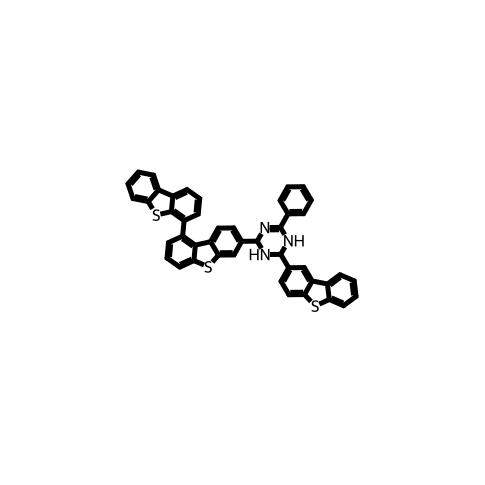 c1ccc(C2=NC(c3ccc4c(c3)sc3cccc(-c5cccc6c5sc5ccccc56)c34)NC(c3ccc4sc5ccccc5c4c3)N2)cc1